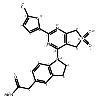 CNC(=O)Cc1ccc2c(c1)CCN2c1nc(-c2ccc(Cl)s2)nc2c1CS(=O)(=O)C2